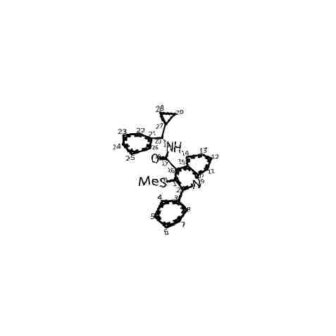 CSc1c(-c2ccccc2)nc2ccccc2c1C(=O)N[C@H](c1ccccc1)C1CC1